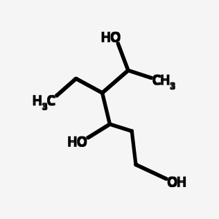 CCC(C(C)O)C(O)CCO